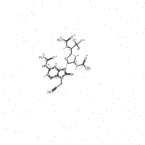 C#CCn1c(=O)n([C@@H]2O[C@H]([C@@H](OC(C)=O)C(F)(F)F)C[C@H]2OC(C)=O)c2nc(NC(C)=O)ncc21